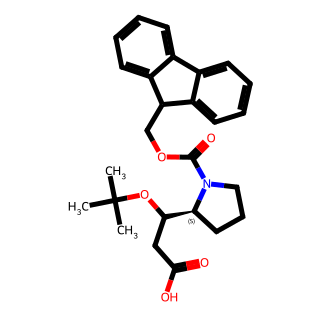 CC(C)(C)OC(CC(=O)O)[C@@H]1CCCN1C(=O)OCC1c2ccccc2-c2ccccc21